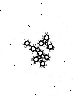 c1ccc(-c2ccc3c4cc([Si](c5ccccc5)(c5ccccc5)c5ccccc5)ccc4n(-c4ccc5c6ccccc6n(-c6ccccc6)c5c4)c3c2)cc1